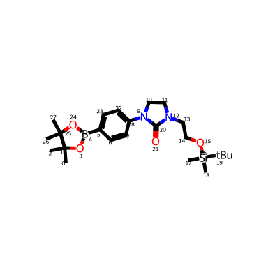 CC1(C)OB(c2ccc(N3CCN(CCO[Si](C)(C)C(C)(C)C)C3=O)cc2)OC1(C)C